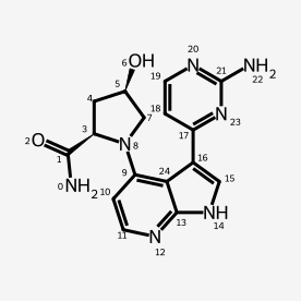 NC(=O)[C@H]1C[C@@H](O)CN1c1ccnc2[nH]cc(-c3ccnc(N)n3)c12